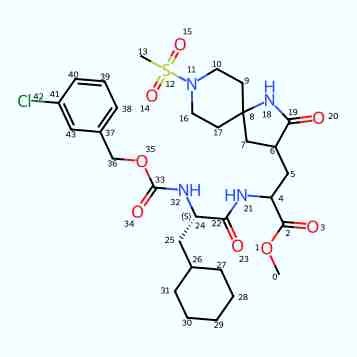 COC(=O)C(CC1CC2(CCN(S(C)(=O)=O)CC2)NC1=O)NC(=O)[C@H](CC1CCCCC1)NC(=O)OCc1cccc(Cl)c1